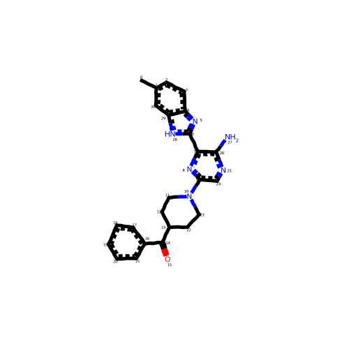 Cc1ccc2nc(-c3nc(N4CCC(C(=O)c5ccccc5)CC4)cnc3N)[nH]c2c1